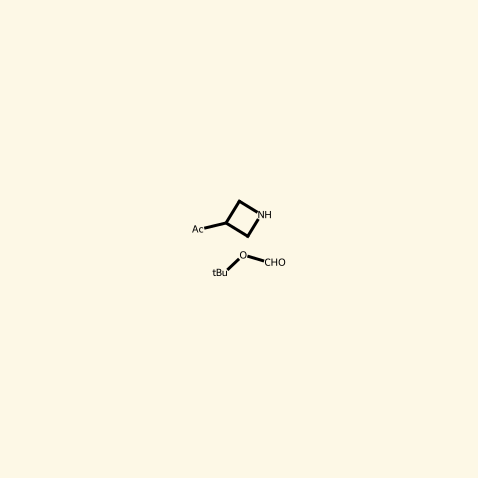 CC(=O)C1CNC1.CC(C)(C)OC=O